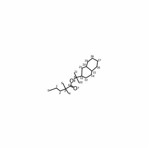 CCCC(C)(C)C(=O)OC(C)(C)C1CCC2CCCCC2C1